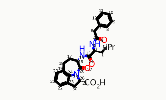 CC(C)C[C@H](NC(=O)Cc1ccccc1)C(=O)N[C@H]1CCc2cccc3c2N(C1=O)[C@H](C(=O)O)C3